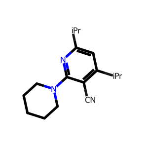 CC(C)c1cc(C(C)C)c(C#N)c(N2CCCCC2)n1